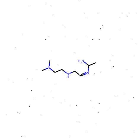 CC(N)/N=C\CNCCN(C)C